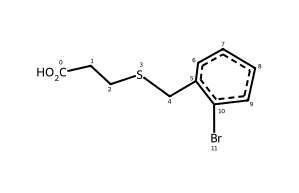 O=C(O)CCSCc1ccccc1Br